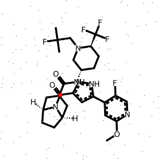 COc1cc(-c2cc(C(=O)N3[C@@H]4CC[C@H]3CC(C(=O)N[C@H]3CC[C@H](C(F)(F)F)N(CC(C)(C)F)C3)C4)n[nH]2)c(F)cn1